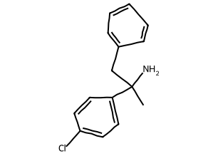 CC(N)(Cc1ccccc1)c1ccc(Cl)cc1